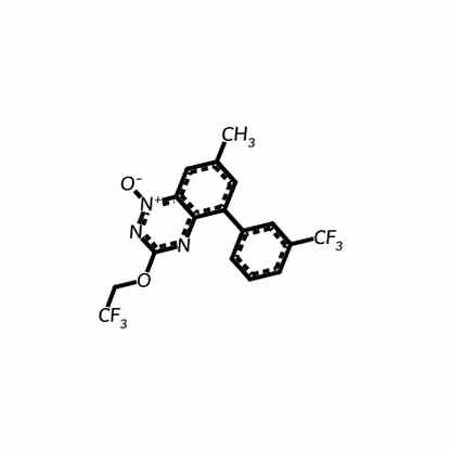 Cc1cc(-c2cccc(C(F)(F)F)c2)c2nc(OCC(F)(F)F)n[n+]([O-])c2c1